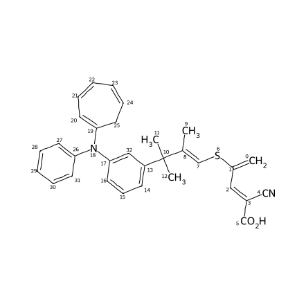 C=C(/C=C(\C#N)C(=O)O)S/C=C(\C)C(C)(C)c1cccc(N(C2=CC=CC=CC2)c2ccccc2)c1